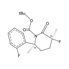 CC(C)(C)OC(=O)N1C(=O)[C@@](C)(F)CC[C@@]1(C)c1ccccc1F